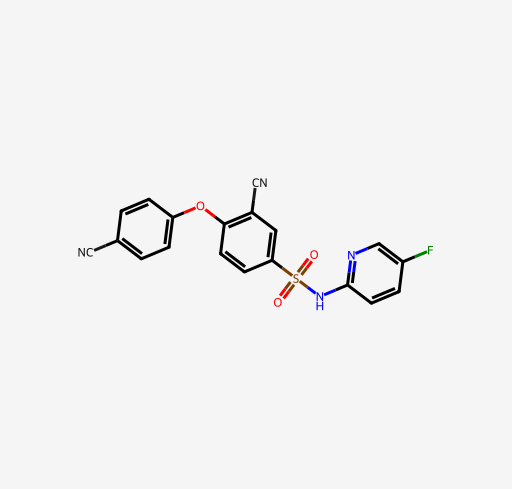 N#Cc1ccc(Oc2ccc(S(=O)(=O)Nc3ccc(F)cn3)cc2C#N)cc1